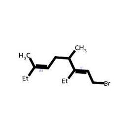 CC/C(C)=C/CC(C)/C(=C/CBr)CC